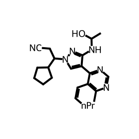 CCC/C=C\c1c(C)ncnc1-c1cn(C(CC#N)C2CCCC2)nc1NC(C)O